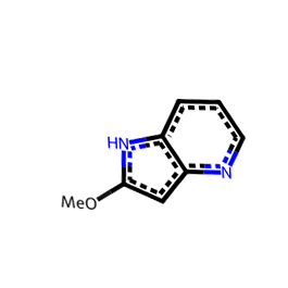 COc1cc2ncccc2[nH]1